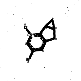 [O-][n+]1cc(Br)cc2c1C1CC1C2